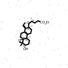 CCOC(=O)CC[C@@H](C)[C@H]1CC=C2C3=C(CC[C@@]21C)[C@@]1(C)CC[C@H](O)C(C)(C)[C@@H]1CC3